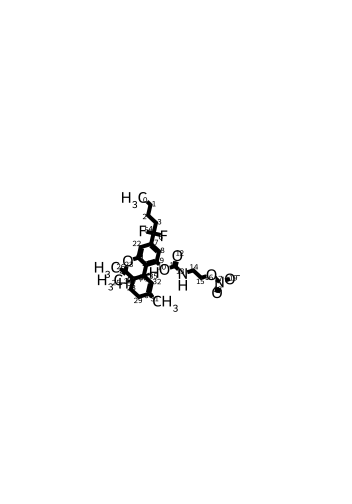 CCCCC(F)(F)c1cc(OC(=O)NCCO[N+](=O)[O-])c2c(c1)OC(C)(C)[C@@H]1CCC(C)=C[C@@H]21